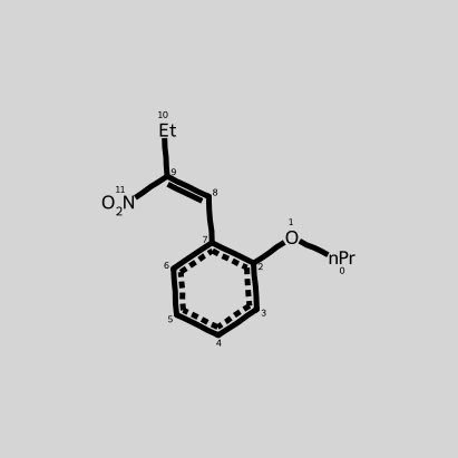 CCCOc1ccccc1C=C(CC)[N+](=O)[O-]